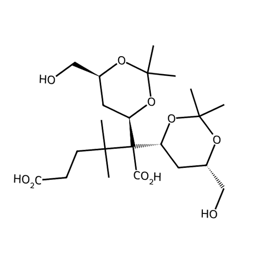 CC1(C)O[C@H](CO)C[C@H](C(C(=O)O)([C@H]2C[C@@H](CO)OC(C)(C)O2)C(C)(C)CCC(=O)O)O1